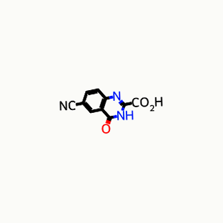 N#Cc1ccc2nc(C(=O)O)[nH]c(=O)c2c1